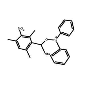 Cc1cc(C)c([N+](=O)[O-])c(C)c1C(O[SiH](c1ccccc1)c1ccccc1)C(C)(C)C